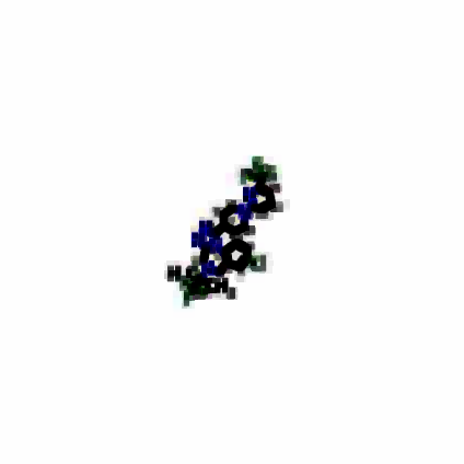 CC(C)(N1Cc2cc(Cl)ccc2-n2c(nnc2C2CCN(c3cccc(C(F)(F)F)n3)CC2)C1)C(F)(F)F